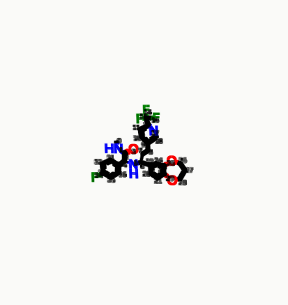 CNC(=O)[C@H](N[C@@H](CCc1ccc(C(F)(F)F)nc1)c1ccc2c(c1)OCCCO2)c1ccc(F)cc1